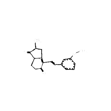 COc1cccc(C=CC2=C3CC(C)C(=O)C3CCC2=O)c1